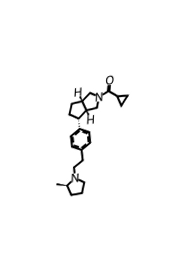 C[C@@H]1CCCN1CCc1ccc([C@@H]2CC[C@@H]3CN(C(=O)C4CC4)C[C@@H]32)cc1